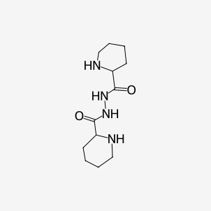 O=C(NNC(=O)C1CCCCN1)C1CCCCN1